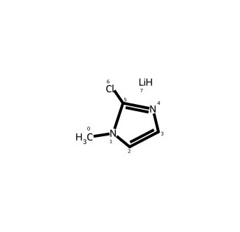 Cn1ccnc1Cl.[LiH]